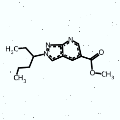 CCCC(CC)n1cc2cc(C(=O)OC)cnc2n1